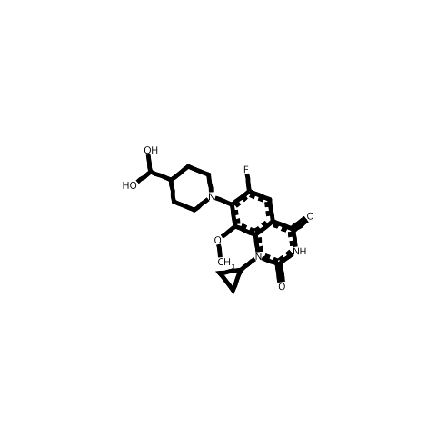 COc1c(N2CCC(C(O)O)CC2)c(F)cc2c(=O)[nH]c(=O)n(C3CC3)c12